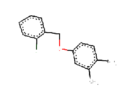 Cc1cc(OCc2ccccc2F)ccc1[N+](=O)[O-]